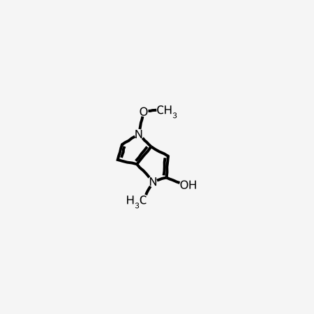 COn1ccc2c1cc(O)n2C